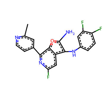 Cc1cc(-c2nc(F)cc3c(Nc4ccc(F)c(F)c4)c(N)oc23)ccn1